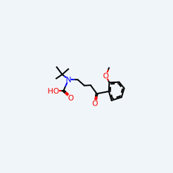 COc1ccccc1C(=O)CCCN(C(=O)O)C(C)(C)C